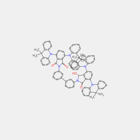 CC1(C)c2ccccc2N(c2ccc(N3c4ccccc4C(C)(C)c4ccccc43)c3c2C(=O)N(c2cccc(-c4cccc(N5C(=O)c6c(N7c8ccccc8C(C)(C)c8ccccc87)ccc(N7c8ccccc8C(C)(C)c8ccccc87)c6C5O)c4)c2)C3=O)c2ccccc21